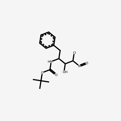 CC(C)(C)OC(=O)NC(Cc1ccccc1)C(O)C(Cl)N=O